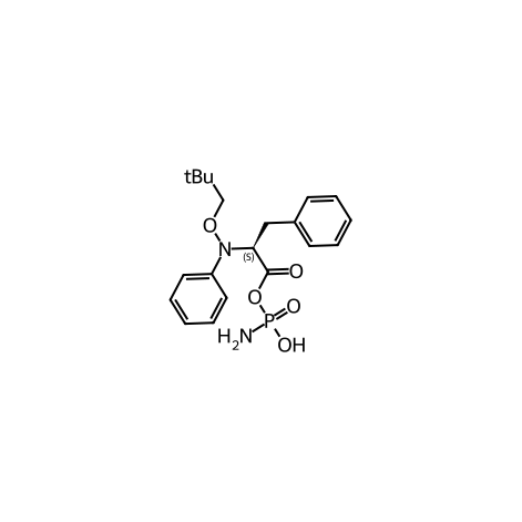 CC(C)(C)CON(c1ccccc1)[C@@H](Cc1ccccc1)C(=O)OP(N)(=O)O